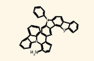 Nc1cccc(-c2ccc3c(c2)c2c4sc5ccccc5c4ccc2n3-c2ccccc2)c1-n1c2ccccc2c2ccccc21